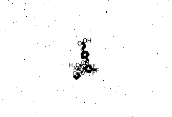 CC(C)N(c1ccc(C(F)(F)F)cc1OCc1ccc(C=CC(=O)O)cc1)S(=O)(=O)c1ccco1